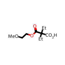 CCC(CC)(C(=O)O)C(=O)OCCOC